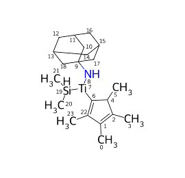 CC1=C(C)C(C)[C]([Ti]([NH]C23CC4CC(CC(C4)C2)C3)[SiH](C)C)=C1C